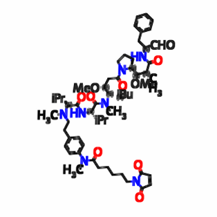 CC[C@H](C)[C@@H]([C@@H](CC(=O)N1CCC[C@H]1[C@H](OC)[C@@H](C)C(=O)N[C@H](C=O)Cc1ccccc1)OC)N(C)C(=O)[C@@H](NC(=O)[C@H](C(C)C)N(C)CCc1ccc(N(C)C(=O)CCCCCN2C(=O)C=CC2=O)cc1)C(C)C